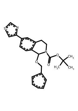 CC(C)(C)OC(=O)N1CCc2cc(-c3cscn3)ccc2C1OCc1ccccc1